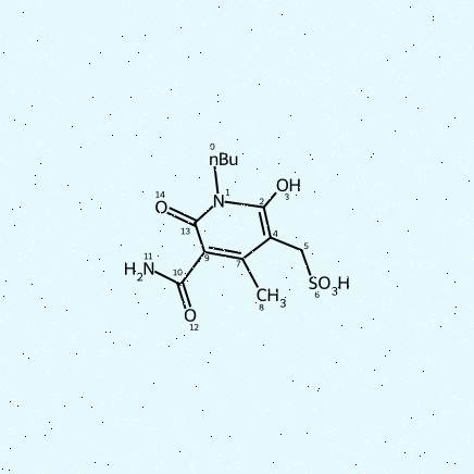 CCCCn1c(O)c(CS(=O)(=O)O)c(C)c(C(N)=O)c1=O